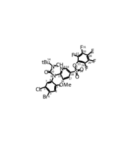 COc1cc(Br)c(Cl)cc1N(C(=O)N(C)C(C)(C)C)c1ccc(S(=O)(=O)Oc2c(F)c(F)c(F)c(F)c2F)cn1